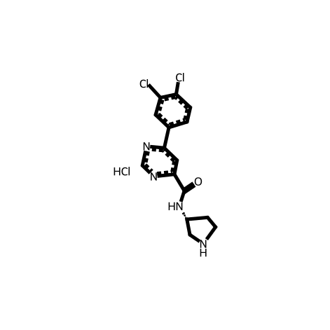 Cl.O=C(N[C@@H]1CCNC1)c1cc(-c2ccc(Cl)c(Cl)c2)ncn1